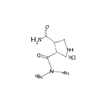 CCCCN(CCCC)C(=O)C1CNCC1C(N)=O.Cl